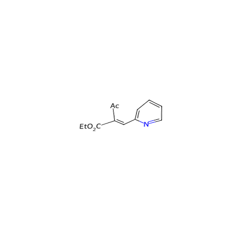 CCOC(=O)C(=Cc1ccccn1)C(C)=O